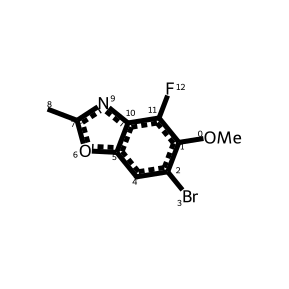 COc1c(Br)cc2oc(C)nc2c1F